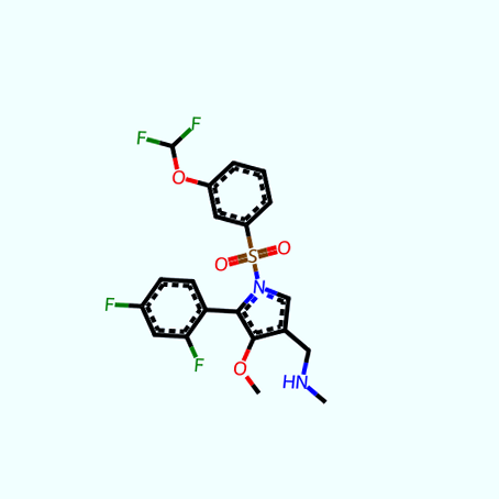 CNCc1cn(S(=O)(=O)c2cccc(OC(F)F)c2)c(-c2ccc(F)cc2F)c1OC